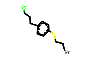 CC(C)CCSc1ccc(CCCCl)cc1